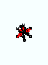 N#Cc1ccc2c(c1)c1cc(C#N)ccc1n2-c1c(-n2c3ccc(-c4ccccc4)cc3c3cc(-c4ccccc4)ccc32)nc(-n2c3ccc(-c4ccccc4)cc3c3cc(-c4ccccc4)ccc32)c(-n2c3ccc(C#N)cc3c3cc(C#N)ccc32)c1-c1ccc2c(c1)oc1ccccc12